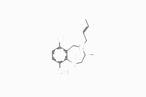 C/C=C/CN1Cc2c(Cl)ccc(N)c2NC[C@@H]1C